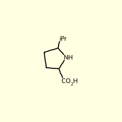 CC(C)C1CCC(C(=O)O)N1